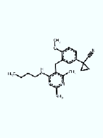 CCCCNc1nc(N)nc(C)c1Cc1cc(C2(C#N)CC2)ccc1OC